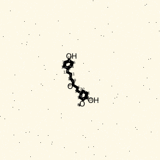 COc1cc(CCC(=O)/C=C/CCc2ccc(O)cc2)ccc1O